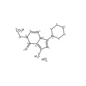 Cc1nc(N2CCOCC2)n2ncn(CC(=O)O)c(=O)c12.Cl